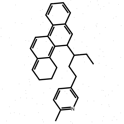 C[CH]C(CCc1ccc(C)nc1)C1C=c2ccccc2=c2ccc3c(c21)CCCC=3